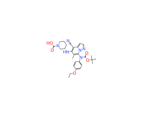 CCOc1ccc(N(C(=O)OC(C)(C)C)c2c(C)c(N[C@H]3CCCN(C(=O)O)C3)c(C#N)c3ccnn23)cc1